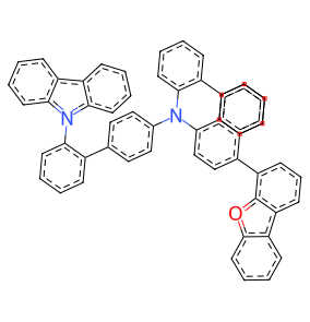 c1ccc(-c2ccccc2N(c2ccc(-c3ccccc3-n3c4ccccc4c4ccccc43)cc2)c2ccc(-c3cccc4c3oc3ccccc34)c3ccccc23)cc1